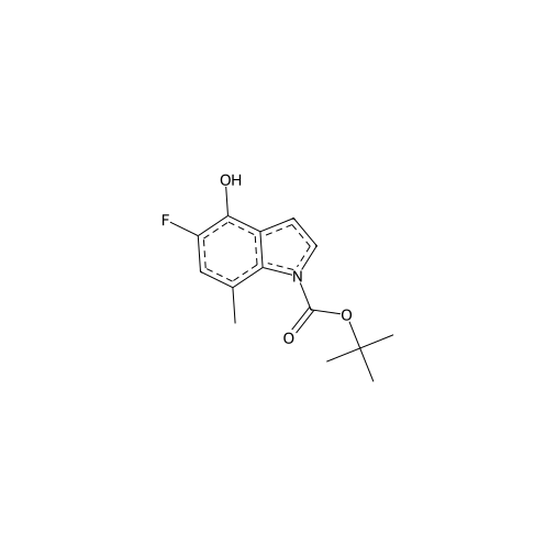 Cc1cc(F)c(O)c2ccn(C(=O)OC(C)(C)C)c12